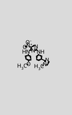 COc1ccc(Nc2nc(Nc3cccc(-c4nccn4C)c3)ncc2[N+](=O)[O-])cc1